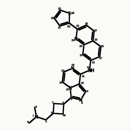 CN(C)CC1CC(c2ncc3c(Nc4ccc5ccc(-c6cccs6)nc5c4)nccn23)C1